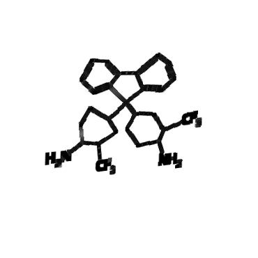 NC1CCC(C2(C3CCC(N)C(C(F)(F)F)C3)c3ccccc3-c3ccccc32)CC1C(F)(F)F